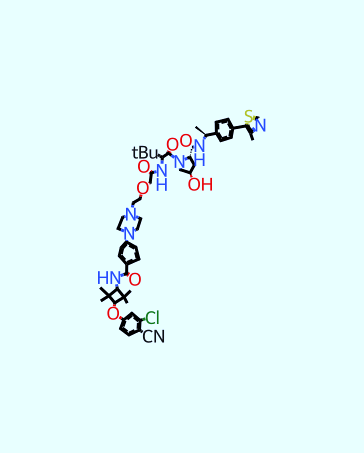 Cc1ncsc1-c1ccc([C@H](C)NC(=O)[C@@H]2C[C@@H](O)CN2C(=O)C(NC(=O)COCCN2CCN(c3ccc(C(=O)NC4C(C)(C)C(Oc5ccc(C#N)c(Cl)c5)C4(C)C)cc3)CC2)C(C)(C)C)cc1